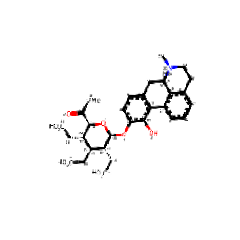 COC(=O)[C@H]1O[C@@H](Oc2ccc3c(c2O)-c2cccc4c2[C@@H](C3)N(C)CC4)[C@H](CC(=O)O)[C@@H](CC(=O)O)[C@@H]1CC(=O)O